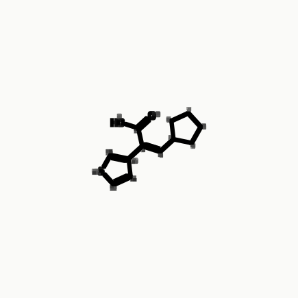 O=C(O)C(=CC1CCCC1)c1ccsc1